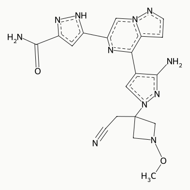 CON1CC(CC#N)(n2cc(-c3nc(-c4cc(C(N)=O)n[nH]4)cn4nccc34)c(N)n2)C1